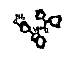 COc1ccc(C2Cc3ccccc3C2NC(=O)C(c2ccccc2)c2ccccc2)cc1